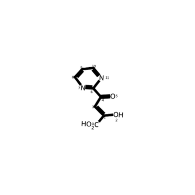 O=C(O)C(O)=CC(=O)c1ncccn1